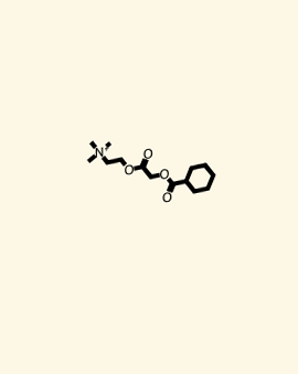 C[N+](C)(C)CCOC(=O)COC(=O)C1CCCCC1